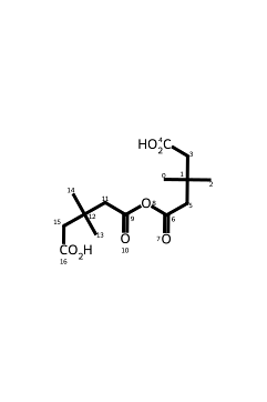 CC(C)(CC(=O)O)CC(=O)OC(=O)CC(C)(C)CC(=O)O